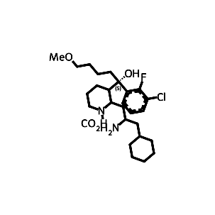 COCCCC[C@@](O)(c1cccc(Cl)c1F)C1CCCN(C(=O)O)C1CC(N)CC1CCCCC1